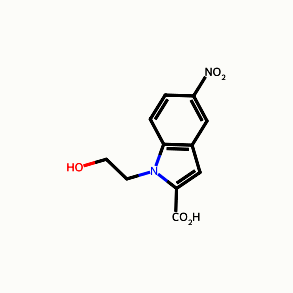 O=C(O)c1cc2cc([N+](=O)[O-])ccc2n1CCO